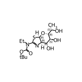 CCN(C(=O)OC(C)(C)C)C1=N[C@@H]2[C@@H](O)[C@H](O)[C@@H]([C@H](C)O)O[C@@H]2S1